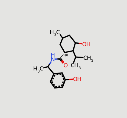 CC1CC(O)C(C(C)C)[C@H](C(=O)NC(C)c2cccc(O)c2)C1